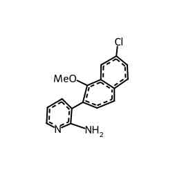 COc1c(-c2cccnc2N)ccc2ccc(Cl)cc12